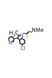 CNC/C=C(\F)Cn1c(C)c(-c2cccnc2)c2cc(Cl)ccc21